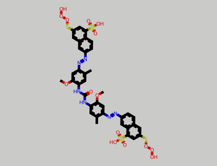 COc1cc(N=Nc2ccc3c(S(=O)(=O)O)cc(SOOO)cc3c2)c(C)cc1NC(=O)Nc1cc(C)c(N=Nc2ccc3cc(SOOO)cc(S(=O)(=O)O)c3c2)cc1OC